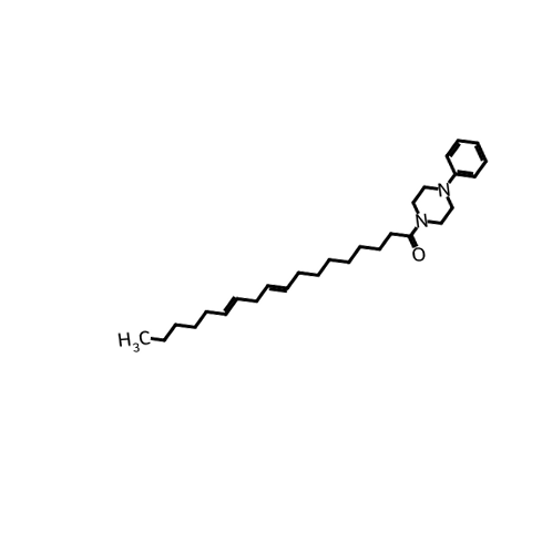 CCCCCC=CCC=CCCCCCCCC(=O)N1CCN(c2ccccc2)CC1